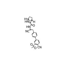 CS(=O)(=O)c1cc(-c2ccc(C[C@@H](C#N)NC(=O)[C@H]3N[C@@H]4CC[C@H]3C4)cc2)ccc1C#N